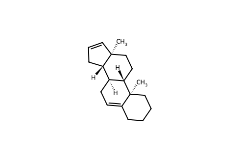 C[C@@]12C=CC[C@H]1[C@@H]1CC=C3CCCC[C@]3(C)[C@H]1CC2